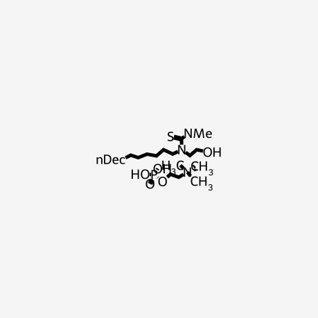 CCCCCCCCCCCCCCCCN(CCO)C(=S)NC.C[N+](C)(C)CCOP(=O)(O)O